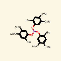 COc1cc(OP(Oc2cc(OC)c(OC)cc2C(C)(C)C)Oc2cc(OC)c(OC)cc2C(C)(C)C)c(C(C)(C)C)cc1OC